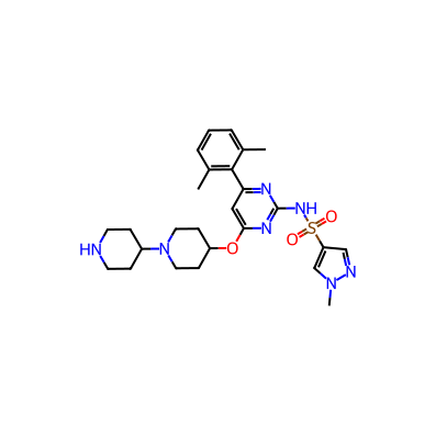 Cc1cccc(C)c1-c1cc(OC2CCN(C3CCNCC3)CC2)nc(NS(=O)(=O)c2cnn(C)c2)n1